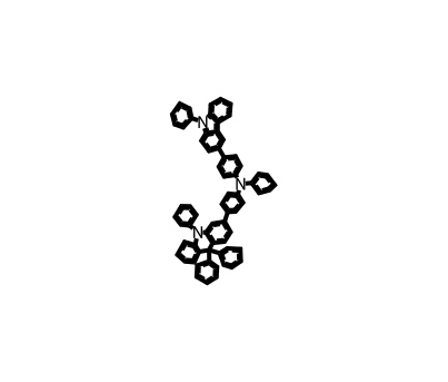 c1ccc(N(c2ccc(-c3ccc4c(c3)N(c3ccccc3)c3ccccc3C4(c3ccccc3)c3ccccc3)cc2)c2ccc(-c3ccc4c(c3)c3ccccc3n4-c3ccccc3)cc2)cc1